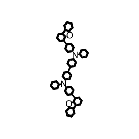 c1ccc(N(c2ccc(-c3ccc(N(c4ccccc4)c4ccc(-c5cccc6c5oc5ccccc56)cc4)cc3)cc2)c2ccc(-c3cccc4c3oc3ccccc34)cc2)cc1